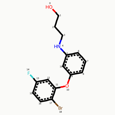 OCCCNc1cccc(Oc2cc(F)ccc2Br)c1